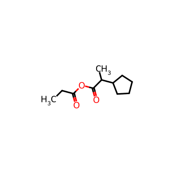 CCC(=O)OC(=O)C(C)C1CCCC1